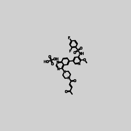 COc1ncc(-c2ccc3ncnc(N4CCN(C(=O)/C=C/C(C)=O)CC4)c3c2)cc1NS(=O)(=O)c1ccc(F)cc1F.O=S(=O)(O)O